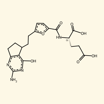 Nc1nc(O)c2c(n1)CCC2CCc1ccc(C(=O)N[C@@H](CCC(=O)O)C(=O)O)o1